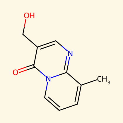 Cc1cccn2c(=O)c(CO)cnc12